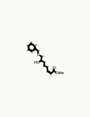 COC(=O)/C=C\CCCC(O)COCc1ccccc1